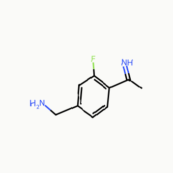 CC(=N)c1ccc(CN)cc1F